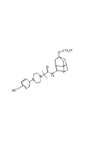 CC(C)(C(=O)NC1C2CC3CC1CC(OC(=O)O)(C3)C2)N1CCN(c2ccc(C#N)cc2)CC1